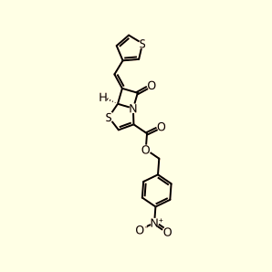 O=C(OCc1ccc([N+](=O)[O-])cc1)C1=CS[C@H]2C(=Cc3ccsc3)C(=O)N12